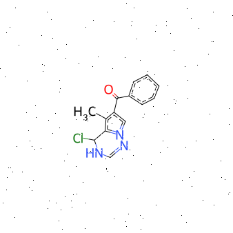 Cc1c(C(=O)c2ccccc2)cn2c1C(Cl)NC=N2